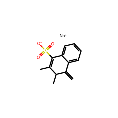 C=C1c2ccccc2C(S(=O)(=O)[O-])=C(C)C1C.[Na+]